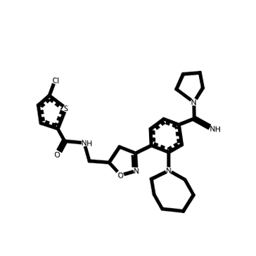 N=C(c1ccc(C2=NOC(CNC(=O)c3ccc(Cl)s3)C2)c(N2CCCCCC2)c1)N1CCCC1